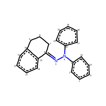 c1ccc(N(N=C2CCCc3ccccc32)c2ccccc2)cc1